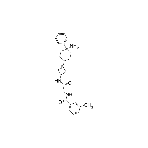 Cc1cccc(C(=O)NCC(=O)NC2CN(C3CCC(N)(c4ccccc4)CC3)C2)c1